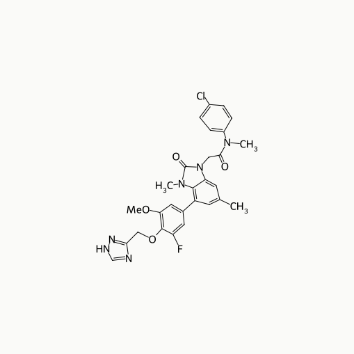 COc1cc(-c2cc(C)cc3c2n(C)c(=O)n3CC(=O)N(C)c2ccc(Cl)cc2)cc(F)c1OCc1nc[nH]n1